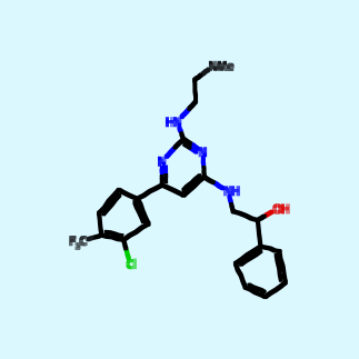 CNCCNc1nc(NCC(O)c2ccccc2)cc(-c2ccc(C(F)(F)F)c(Cl)c2)n1